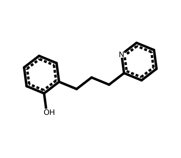 Oc1ccccc1CCCc1ccccn1